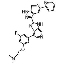 CN(C)CCOc1cc(F)cc(-c2cncc3[nH]c(-c4n[nH]c5cnc(-c6ccccn6)cc45)nc23)c1